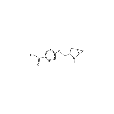 CN1C(COc2ccc(C(N)=O)nc2)CC2CC21